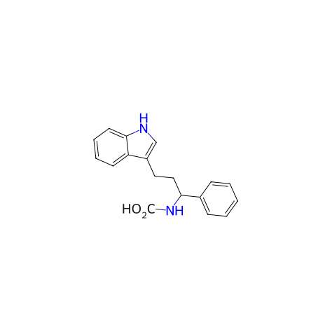 O=C(O)NC(CCc1c[nH]c2ccccc12)c1ccccc1